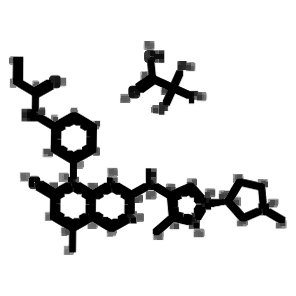 C=CC(=O)Nc1cccc(-n2c(=O)cc(C)c3cnc(Nc4cn([C@H]5CCN(C)C5)nc4C)nc32)c1.O=C(O)C(F)(F)F